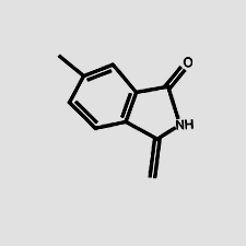 C=C1NC(=O)c2cc(C)ccc21